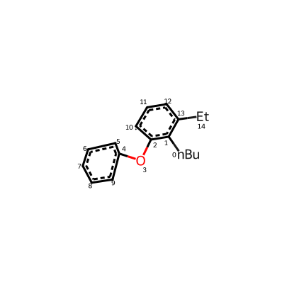 CCCCc1c(Oc2ccccc2)[c]ccc1CC